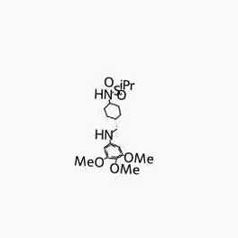 COc1cc(NC[C@H]2CC[C@H](NS(=O)(=O)C(C)C)CC2)cc(OC)c1OC